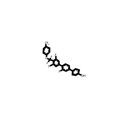 Oc1ccc(-c2ccc(-c3cc(F)c(C(F)(F)Oc4ccc(C(F)(F)F)cc4)c(F)c3)c(F)c2)cc1